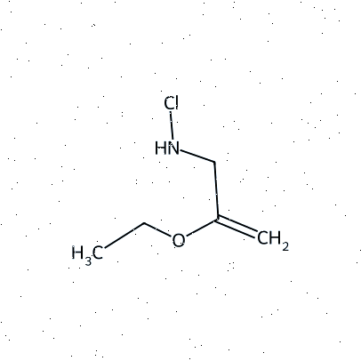 C=C(CNCl)OCC